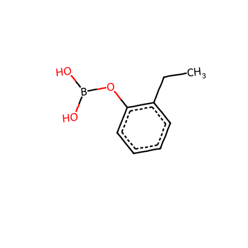 CCc1ccccc1OB(O)O